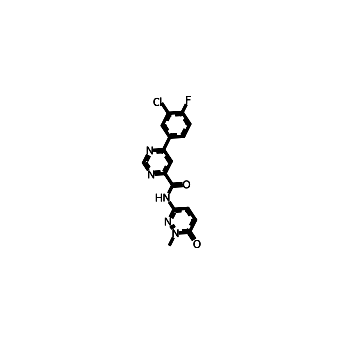 Cn1nc(NC(=O)c2cc(-c3ccc(F)c(Cl)c3)ncn2)ccc1=O